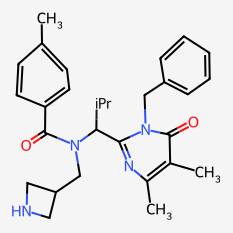 Cc1ccc(C(=O)N(CC2CNC2)C(c2nc(C)c(C)c(=O)n2Cc2ccccc2)C(C)C)cc1